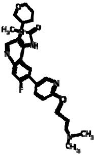 CN(C)CCCOc1ccc(-c2cc3c4c(cnc3cc2F)[N+](C)(C2CCCOC2)C(=O)N4)cn1